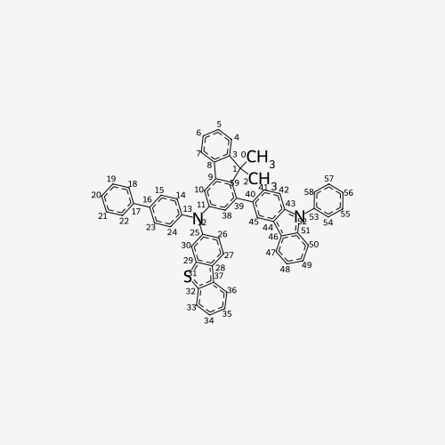 CC1(C)c2ccccc2-c2cc(N(c3ccc(-c4ccccc4)cc3)c3ccc4c(c3)sc3ccccc34)cc(-c3ccc4c(c3)c3ccccc3n4-c3ccccc3)c21